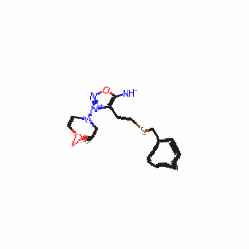 [NH-]c1on[n+](N2CCOCC2)c1CCSCc1ccccc1